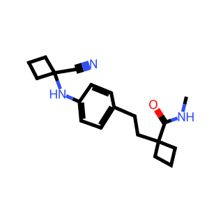 CNC(=O)C1(CCc2ccc(NC3(C#N)CCC3)cc2)CCC1